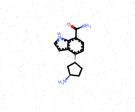 NC(=O)c1ccc([C@@H]2CC[C@@H](N)C2)c2cc[nH]c12